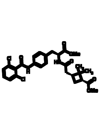 COC(=O)[C@H](Cc1ccc(NC(=O)c2c(Cl)cccc2Cl)cc1)NC(=O)C[C@H]1C[C@@H](C(=O)OC)C1(C)C